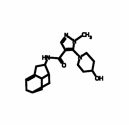 Cn1ncc(C(=O)NC2CC3=CCC4CC3C2C4)c1N1CCC(O)CC1